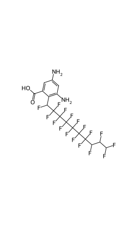 Nc1cc(N)c(C(F)C(F)(F)C(F)(F)C(F)(F)C(F)(F)C(F)(F)C(F)(F)C(F)C(F)C(F)F)c(C(=O)O)c1